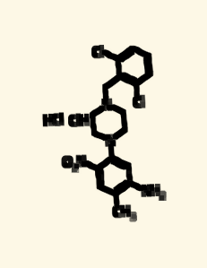 Cc1cc([N+](=O)[O-])c(N2CCN(Cc3c(Cl)cccc3Cl)CC2)cc1N.Cl.Cl